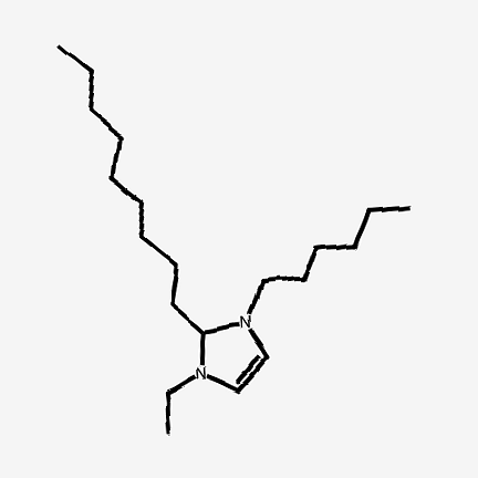 CCCCCCCCCC1N(CC)C=CN1CCCCCC